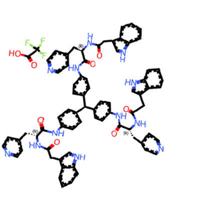 O=C(Cc1c[nH]c2ccccc12)N[C@H](Cc1ccncc1)C(=O)Nc1ccc(C(c2ccc(NC(=O)[C@@H](Cc3ccncc3)NC(=O)Cc3c[nH]c4ccccc34)cc2)c2ccc(NC(=O)[C@@H](Cc3ccncc3)NC(=O)Cc3c[nH]c4ccccc34)cc2)cc1.O=C(O)C(F)(F)F